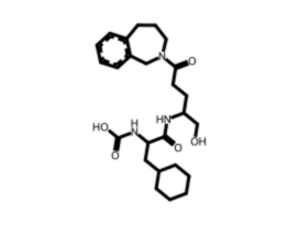 O=C(O)NC(CC1CCCCC1)C(=O)NC(CO)CCC(=O)N1CCCc2ccccc2C1